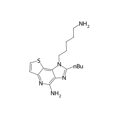 CCCCc1nc2c(N)nc3ccsc3c2n1CCCCCN